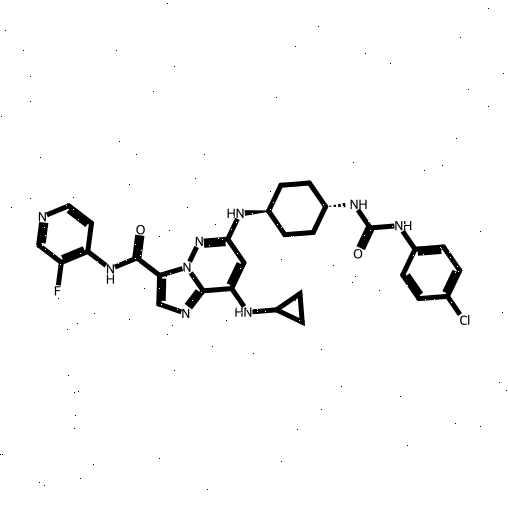 O=C(Nc1ccc(Cl)cc1)N[C@H]1CC[C@H](Nc2cc(NC3CC3)c3ncc(C(=O)Nc4ccncc4F)n3n2)CC1